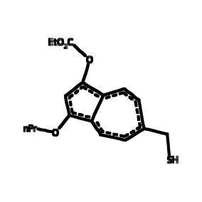 CCCOc1cc(OC(=O)OCC)c2ccc(CS)ccc1-2